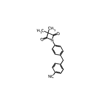 CC1(C)C(=O)N(c2ccc(Cc3ccc(C#N)cc3)cc2)C1=O